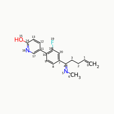 C=CCC/C(=N\C)c1ccc(-c2ccc(O)nc2)c(F)c1